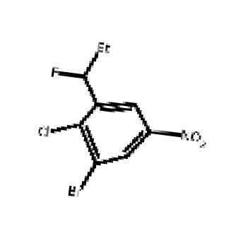 CCC(F)c1cc([N+](=O)[O-])cc(Br)c1Cl